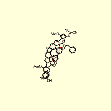 COc1cc(N=C(C#N)C#N)sc1C1=Cc2cc3sc4cc5c(cc4c3cc2C1(C(=O)OCc1ccccc1)C(=O)OCc1ccccc1)C(C(=O)OCc1ccccc1)(C(=O)OCc1ccccc1)C(c1sc(N=C(C#N)C#N)cc1OC)=C5